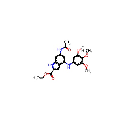 CCOC(=O)c1cc2c(Nc3cc(OC)c(OC)c(OC)c3)cc(NC(C)=O)cc2[nH]1